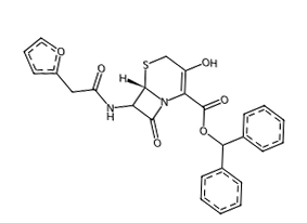 O=C(Cc1ccco1)NC1C(=O)N2C(C(=O)OC(c3ccccc3)c3ccccc3)=C(O)CS[C@@H]12